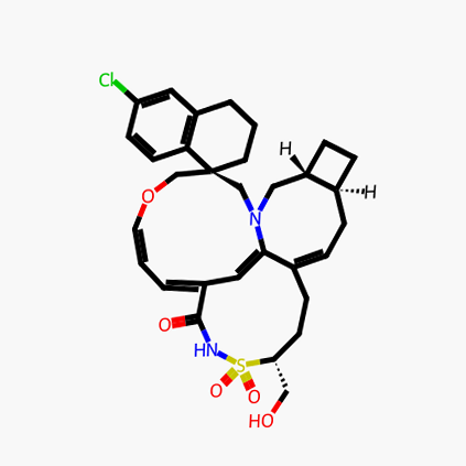 O=C1NS(=O)(=O)[C@@H](CO)CCC2=C/C[C@@H]3CC[C@H]3CN3C[C@@]4(CCCc5cc(Cl)ccc54)COC=CC=C1\C=C\23